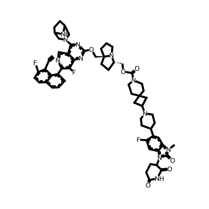 C#Cc1c(F)ccc2cccc(-c3ncc4c(N5CC6CCC(C5)N6)nc(OC[C@@]56CCCN5[C@H](COC(=O)N5CCC7(CC5)CC(N5CCC(c8cc9c(cc8F)n(C8CCC(=O)NC8=O)c(=O)n9C)CC5)C7)CC6)nc4c3F)c12